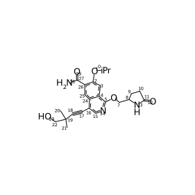 CC(C)Oc1cc2c(OCC3CCC(=O)N3)ncc(C#CC(C)(C)CO)c2cc1C(N)=O